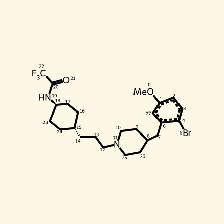 COc1ccc(Br)c(CC2CCN(CCC[C@H]3CC[C@H](NC(=O)C(F)(F)F)CC3)CC2)c1